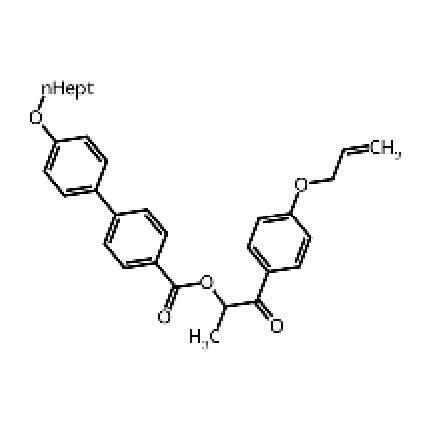 C=CCOc1ccc(C(=O)C(C)OC(=O)c2ccc(-c3ccc(OCCCCCCC)cc3)cc2)cc1